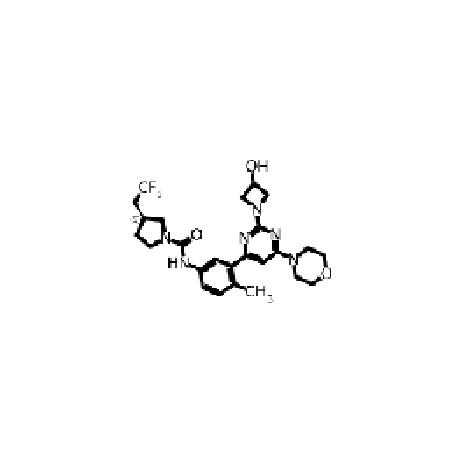 Cc1ccc(NC(=O)N2CC[C@@H](CC(F)(F)F)C2)cc1-c1cc(N2CCOCC2)nc(N2CC(O)C2)n1